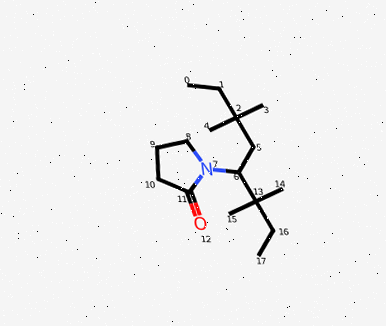 CCC(C)(C)CC(N1CCCC1=O)C(C)(C)CC